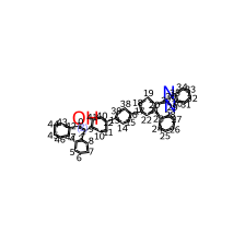 O/C(=C(/c1ccccc1)c1ccc(-c2ccc(-c3ccc4c(c3)c3ccccc3n3c5ccccc5nc43)cc2)cc1)c1ccccc1